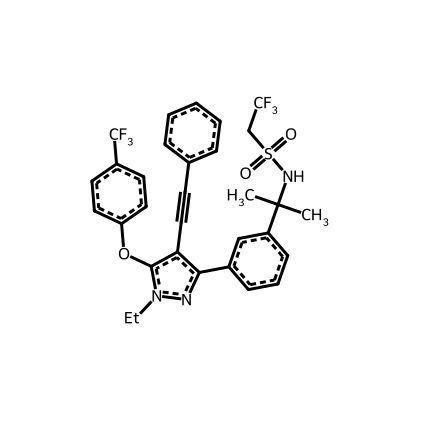 CCn1nc(-c2cccc(C(C)(C)NS(=O)(=O)CC(F)(F)F)c2)c(C#Cc2ccccc2)c1Oc1ccc(C(F)(F)F)cc1